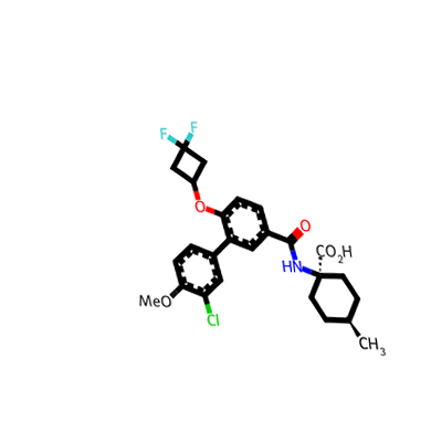 COc1ccc(-c2cc(C(=O)N[C@]3(C(=O)O)CC[C@H](C)CC3)ccc2OC2CC(F)(F)C2)cc1Cl